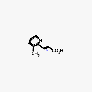 Cc1cccnc1/C=C/C(=O)O